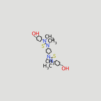 CCN(C(=S)N(CC)c1ccc(N(CC)C(=S)N(CC)c2ccc(CO)cc2)cc1)c1ccc(CO)cc1